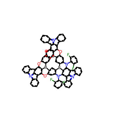 Fc1cccc(F)c1N1c2cc3c(cc2B2c4cc5c(cc4N(c4c(F)cccc4F)c4c2c1c1c2ccccc2n2c6ccccc6c4c12)Oc1c2c(c4c6ccccc6n6c7ccccc7c1c46)Oc1ccccc1B52)B1c2ccccc2Oc2c1c(c1c4ccccc4n4c5ccccc5c2c14)O3